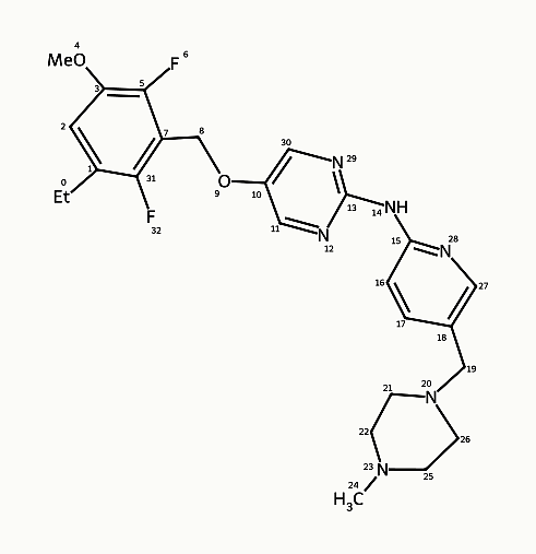 CCc1cc(OC)c(F)c(COc2cnc(Nc3ccc(CN4CCN(C)CC4)cn3)nc2)c1F